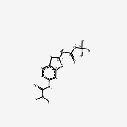 CC(C)C(=O)Oc1ccc2c(c1)O[C@H](NC(=O)OC(C)(C)C)C2